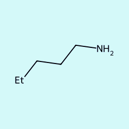 [CH2]CCCCN